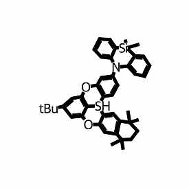 CC(C)(C)c1cc2c3c(c1)Oc1cc4c(cc1[SH]3c1ccc(N3c5ccccc5[Si](C)(C)c5ccccc53)cc1O2)C(C)(C)CCC4(C)C